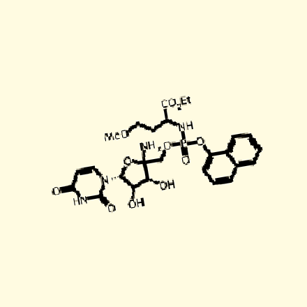 CCOC(=O)[C@H](CCOC)NP(=O)(OC[C@@]1(N)O[C@@H](n2ccc(=O)[nH]c2=O)[C@H](O)[C@@H]1O)Oc1cccc2ccccc12